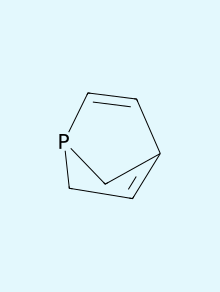 C1=CP2CC=C1C2